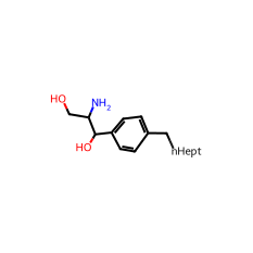 CCCCCCCCc1ccc(C(O)C(N)CO)cc1